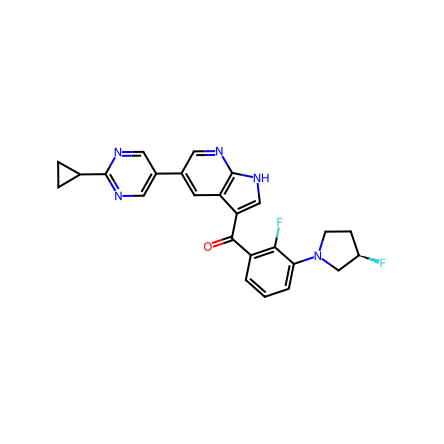 O=C(c1cccc(N2CC[C@@H](F)C2)c1F)c1c[nH]c2ncc(-c3cnc(C4CC4)nc3)cc12